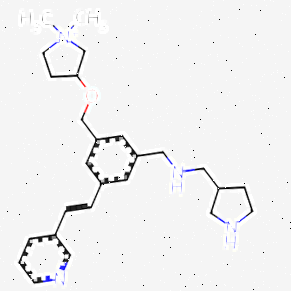 C[N+]1(C)CCC(OCc2cc(/C=C/c3cccnc3)cc(CNCC3CCNC3)c2)C1